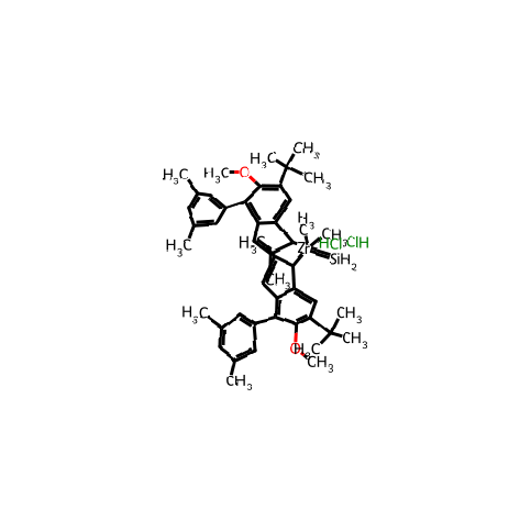 COc1c(C(C)(C)C)cc2c(c1-c1cc(C)cc(C)c1)C=C(C)[CH]2[Zr]([CH3])([CH3])(=[SiH2])[CH]1C(C)=Cc2c1cc(C(C)(C)C)c(OC)c2-c1cc(C)cc(C)c1.Cl.Cl